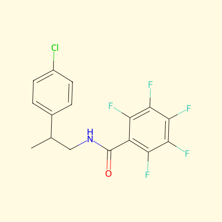 CC(CNC(=O)c1c(F)c(F)c(F)c(F)c1F)c1ccc(Cl)cc1